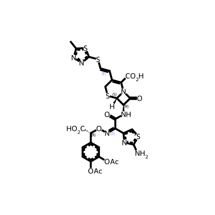 CC(=O)Oc1ccc([C@@H](O/N=C(\C(=O)N[C@@H]2C(=O)N3C(C(=O)O)=C(/C=C/Sc4nnc(C)s4)CS[C@@H]23)c2csc(N)n2)C(=O)O)cc1OC(C)=O